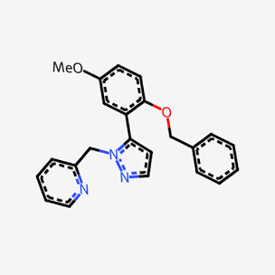 COc1ccc(OCc2ccccc2)c(-c2ccnn2Cc2ccccn2)c1